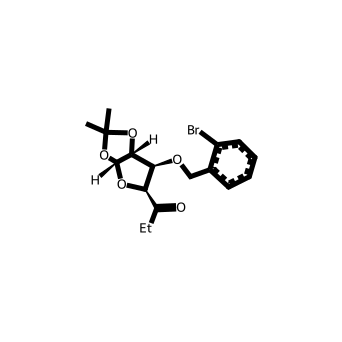 CCC(=O)[C@H]1O[C@@H]2OC(C)(C)O[C@@H]2[C@H]1OCc1ccccc1Br